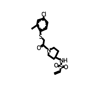 C=CS(=O)(=O)NC1CCN(C(=O)CSc2ccc(Cl)cc2C)CC1